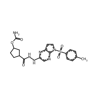 Cc1ccc(S(=O)(=O)n2ccc3nc(NNC(=O)C4CCC(OC(N)=O)C4)cnc32)cc1